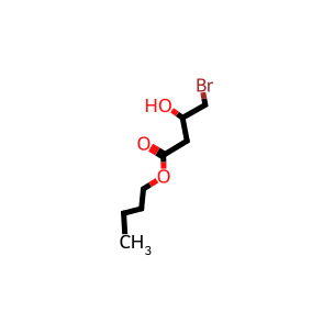 CCCCOC(=O)CC(O)CBr